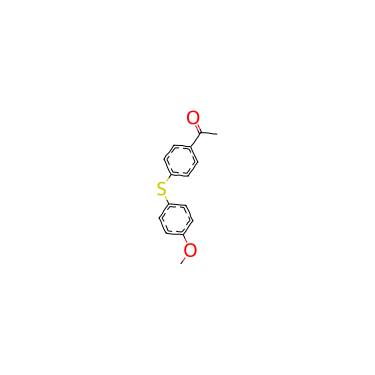 COc1ccc(Sc2ccc(C(C)=O)cc2)cc1